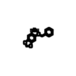 CCCCc1cc2c(cc1OCc1ccccc1)OCO2